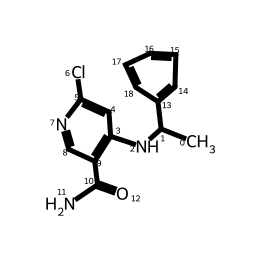 CC(Nc1cc(Cl)ncc1C(N)=O)c1ccccc1